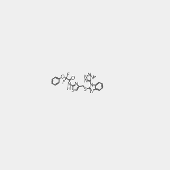 Cn1nnnc1-n1c(SCc2csc(NC(=O)C(F)(F)Oc3ccccc3)n2)nc2ccccc21